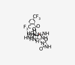 N=C1N[C@H]2C(CN3C(=O)CNC3=O)NC(=N)N3CC(OC(=O)c4cc(C(F)(F)F)ccc4C(F)(F)F)C(O)(O)[C@]23N1